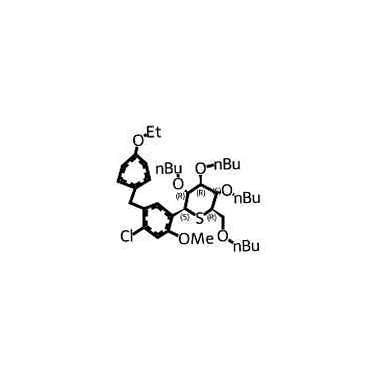 CCCCOC[C@H]1S[C@@H](c2cc(Cc3ccc(OCC)cc3)c(Cl)cc2OC)[C@H](OCCCC)[C@@H](OCCCC)[C@@H]1OCCCC